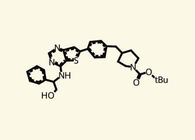 CC(C)(C)OC(=O)N1CCC(Cc2ccc(-c3cc4ncnc(NC(CO)c5ccccc5)c4s3)cc2)CC1